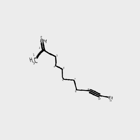 B=C(C)CCCCCCC#CCC